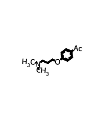 CC(=O)c1ccc(OCCCN(C)C)cc1